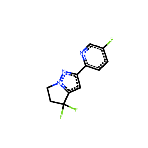 Fc1ccc(-c2cc3n(n2)CCC3(F)F)nc1